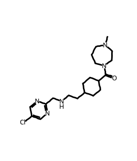 CN1CCCN(C(=O)C2CCC(CCNCc3ncc(Cl)cn3)CC2)CC1